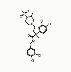 CC1CN(CCC(C)(C(=O)NCc2ccc(Cl)c(Cl)c2)c2ccc(Cl)c(Cl)c2)CCN1S(C)(=O)=O